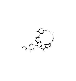 C=CC(=O)N1C[C@H](C)N(c2nc(=O)n3c4nc(c(F)cc24)-c2cc(ccc2F)NCCSCCc2cnc(C(C)C)c-3c2)C[C@H]1C